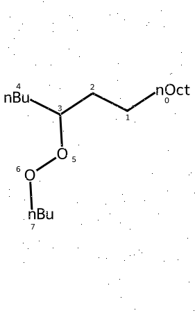 CCCCCCCCCCC(CCCC)OOCCCC